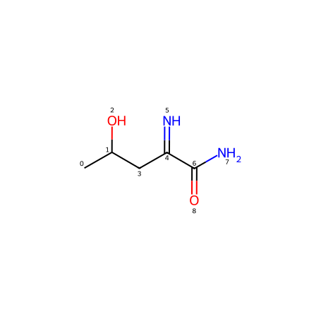 CC(O)CC(=N)C(N)=O